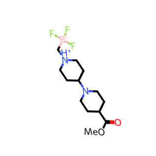 COC(=O)C1CCN(C2CC[NH+](C[B-](F)(F)F)CC2)CC1